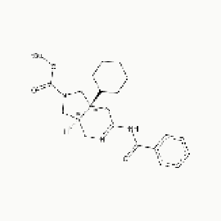 CC(C)(C)OC(=O)N1C[C@@H]2CN=C(NC(=O)c3ccccc3)S[C@@]2(C2CCCCC2)C1